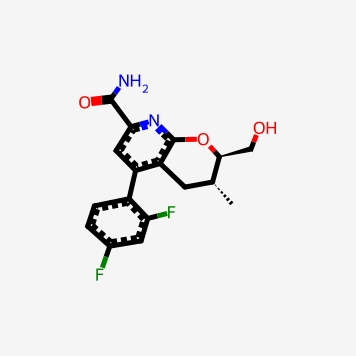 C[C@@H]1Cc2c(-c3ccc(F)cc3F)cc(C(N)=O)nc2O[C@H]1CO